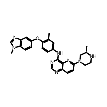 Cc1cc(Nc2ncnc3ccc(N4CCN[C@H](C)C4)nc23)ccc1Oc1ccc2c(c1)ncn2C